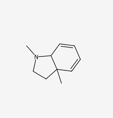 CN1CCC2(C)C=CC=CC12